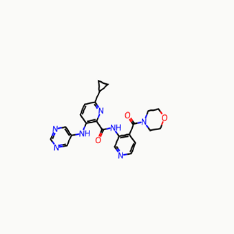 O=C(Nc1cnccc1C(=O)N1CCOCC1)c1nc(C2CC2)ccc1Nc1cncnc1